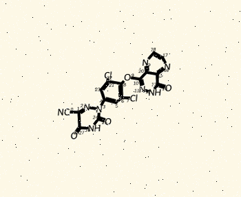 N#Cc1nn(-c2cc(Cl)c(Oc3n[nH]c(=O)c4nccnc34)c(Cl)c2)c(=O)[nH]c1=O